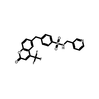 O=c1cc(C(F)(F)F)c2cc(Cc3ccc(S(=O)(=O)NCc4cccnc4)cc3)ccc2o1